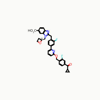 O=C(O)c1ccc2nc(Cc3ccc(-c4cccc(OCc5ccc(C(=O)C6CC6)cc5F)n4)cc3F)n(C[C@@H]3CCO3)c2c1